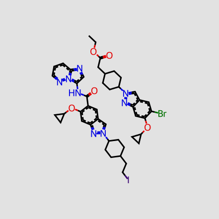 CCOC(=O)CC1CCC(n2cc3cc(Br)c(OC4CC4)cc3n2)CC1.O=C(Nc1cnc2cccnn12)c1cc2cn(C3CCC(CCI)CC3)nc2cc1OC1CC1